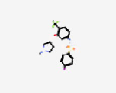 CN1CC[C@@H](Oc2cc(NS(=O)(=O)c3ccc(I)cc3)ccc2C(F)(F)F)C1